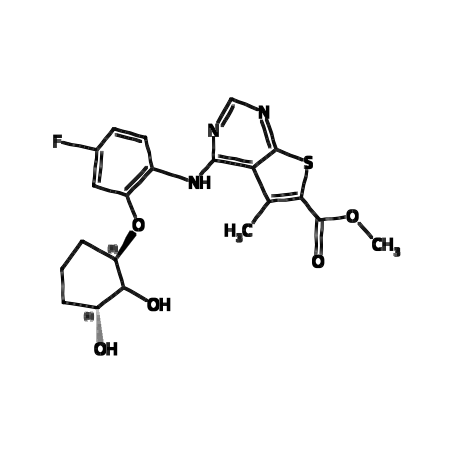 COC(=O)c1sc2ncnc(Nc3ccc(F)cc3O[C@@H]3CCC[C@@H](O)C3O)c2c1C